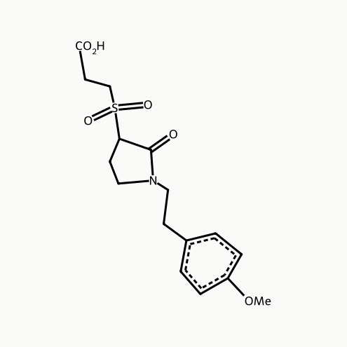 COc1ccc(CCN2CCC(S(=O)(=O)CCC(=O)O)C2=O)cc1